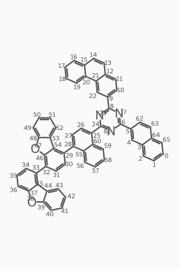 c1ccc2cc(-c3nc(-c4ccc5ccc6ccccc6c5c4)nc(-c4ccc(-c5ccc(-c6cccc7oc8ccccc8c67)c6oc7ccccc7c56)c5ccccc45)n3)ccc2c1